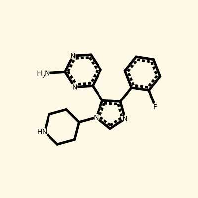 Nc1nccc(-c2c(-c3ccccc3F)ncn2C2CCNCC2)n1